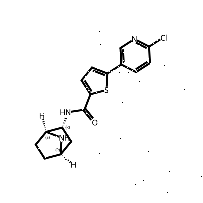 O=C(N[C@@H]1C[C@H]2CC[C@@H]1N2)c1ccc(-c2ccc(Cl)nc2)s1